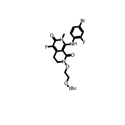 Cn1c(Nc2ccc(Br)cc2F)c2c(c(F)c1=O)CCN(OCCOC(C)(C)C)C2=O